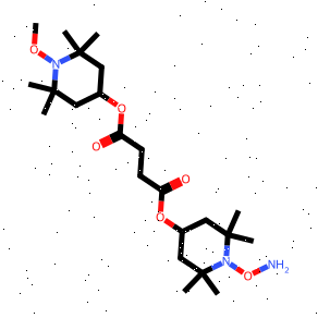 CON1C(C)(C)CC(OC(=O)CCC(=O)OC2CC(C)(C)N(ON)C(C)(C)C2)CC1(C)C